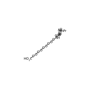 CCCC(=O)N[C@@H](Cc1cn(CC(=O)NCCOCCOCCOCCOCCOCCOCCOCCOCCOCCC(=O)O)nn1)C(C)=O